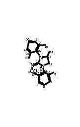 CCOC(=O)N=C1N(c2c(C)cccc2C)CC(C)N1c1c(C)cccc1C